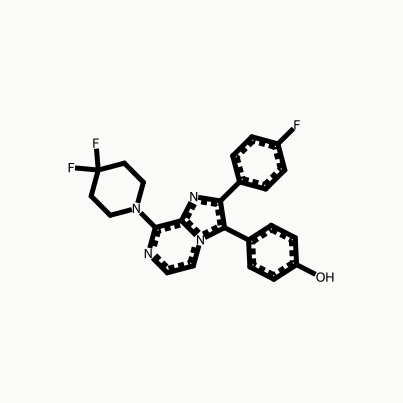 Oc1ccc(-c2c(-c3ccc(F)cc3)nc3c(N4CCC(F)(F)CC4)nccn23)cc1